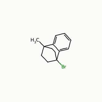 CC12CCC(Br)(CC1)c1ccccc12